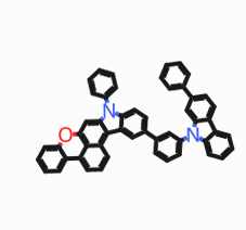 c1ccc(-c2ccc3c4ccccc4n(-c4cccc(-c5ccc6c(c5)c5c7cccc8c7c(cc5n6-c5ccccc5)Oc5ccccc5-8)c4)c3c2)cc1